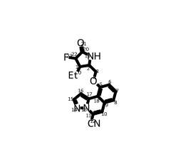 CCC1C(COc2cccc3cc(C#N)n4nccc4c23)NC(=O)C1F